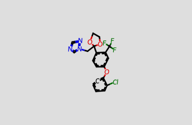 FC(F)(F)c1cc(Oc2ccccc2Cl)ccc1C1(Cn2cncn2)OCCO1